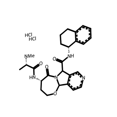 CN[C@@H](C)C(=O)N[C@H]1CCOC2c3ccncc3C(C(=O)N[C@@H]3CCCc4ccccc43)N2C1=O.Cl.Cl